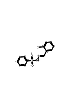 O=S(=O)(N/N=C/c1ccccc1Cl)c1ccccc1